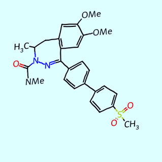 CNC(=O)N1N=C(c2ccc(-c3ccc(S(C)(=O)=O)cc3)cc2)c2cc(OC)c(OC)cc2CC1C